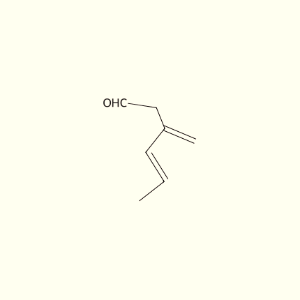 C=C(C=CC)CC=O